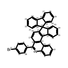 Brc1ccc(-c2nc3ccccc3c3c4c(ccc23)C2(c3ccccc3-c3ccccc32)c2ccccc2-4)cc1